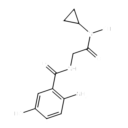 CN(C(=O)CNC(=O)c1cc(O)ccc1N)C1CC1